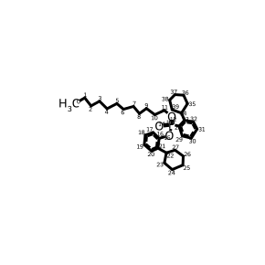 CCCCCCCCCCCCOP(=O)(Oc1ccccc1C1CCCCC1)c1ccccc1C1CCCCC1